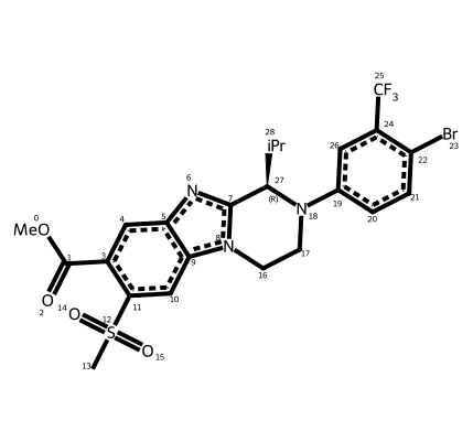 COC(=O)c1cc2nc3n(c2cc1S(C)(=O)=O)CCN(c1ccc(Br)c(C(F)(F)F)c1)[C@@H]3C(C)C